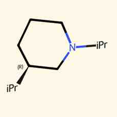 CC(C)[C@H]1CCCN(C(C)C)C1